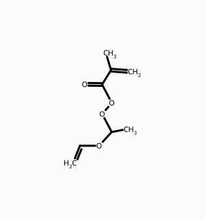 C=COC(C)OOC(=O)C(=C)C